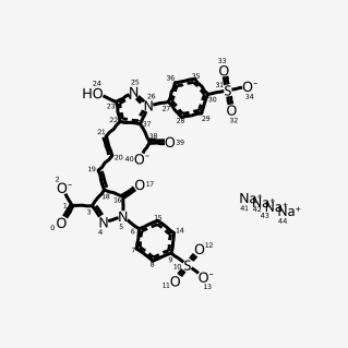 O=C([O-])C1=NN(c2ccc(S(=O)(=O)[O-])cc2)C(=O)C1=CC=Cc1c(O)nn(-c2ccc(S(=O)(=O)[O-])cc2)c1C(=O)[O-].[Na+].[Na+].[Na+].[Na+]